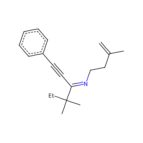 C=C(C)CC/N=C(\C#Cc1ccccc1)C(C)(C)CC